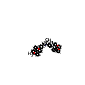 CC(C)=N/C(=C\C(=N)c1ccc(Cc2ccccc2C(c2ccccc2)(c2ccccc2)c2ccccc2N)cc1)c1ccc(N2c3ccccc3C(c3ccccc3)(c3ccccc3)c3ccccc32)cc1